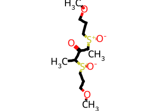 COCCC[S+]([O-])C(C)C(=O)C(C)[S+]([O-])CCCOC